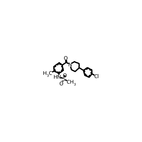 Cc1ccc(C(=O)N2CCC(c3ccc(Cl)cc3)CC2)cc1NS(C)(=O)=O